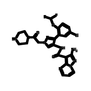 Nc1nn2cccnc2c1C(=O)Nc1cn(CC(=O)N2CCNCC2)nc1-c1cc(Cl)ccc1OC(F)F